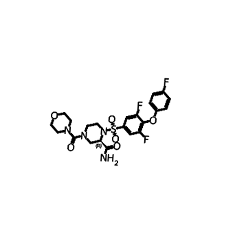 NC(=O)[C@H]1CN(C(=O)N2CCOCC2)CCN1S(=O)(=O)c1cc(F)c(Oc2ccc(F)cc2)c(F)c1